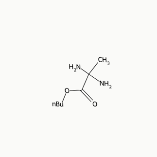 CCCCOC(=O)C(C)(N)N